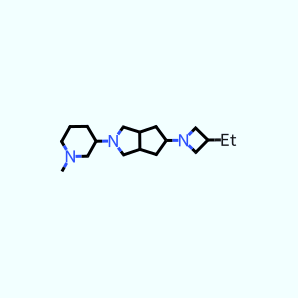 CCC1CN(C2CC3CN(C4CCCN(C)C4)CC3C2)C1